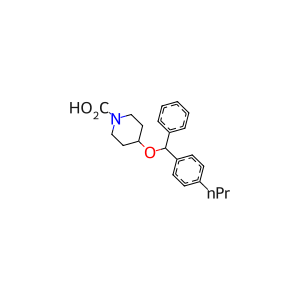 CCCc1ccc(C(OC2CCN(C(=O)O)CC2)c2ccccc2)cc1